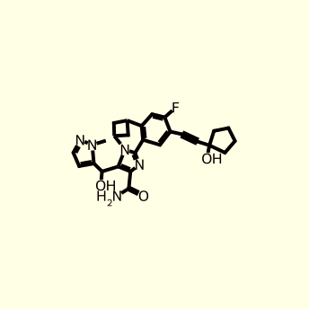 Cn1nccc1C(O)c1c(C(N)=O)nc2n1C1CC(C1)c1cc(F)c(C#CC3(O)CCCC3)cc1-2